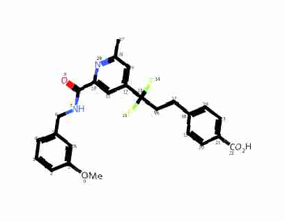 COc1cccc(CNC(=O)c2cc(C(F)(F)CCc3ccc(C(=O)O)cc3)cc(C)n2)c1